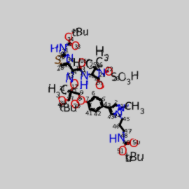 C[n+]1cc(-c2ccc(OCC(C)(O/N=C(\C(=O)N[C@@H]3C(=O)N(OS(=O)(=O)O)C3(C)C)c3csc(NC(=O)OC(C)(C)C)n3)C(=O)OC(C)(C)C)cc2)cn1CCCNC(=O)OC(C)(C)C